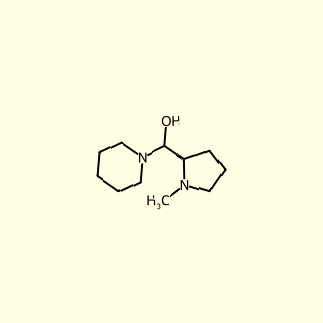 CN1CCCC1C(O)N1CCCCC1